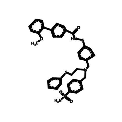 COc1ccccc1-c1ccc(C(=O)NSc2ccc(CN(CCSc3ccccc3)Cc3ccc(S(N)(=O)=O)cc3)cc2)cc1